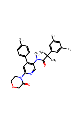 Cc1ccc(-c2cc(N3CCOCC3=O)ncc2N(C)C(=O)C(C)(C)c2cc(C(F)(F)F)cc(C(F)(F)F)c2)cc1